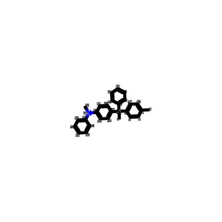 Cc1ccc([Si](C)(c2ccccc2)c2ccc(N(C)c3ccccc3)cc2)cc1